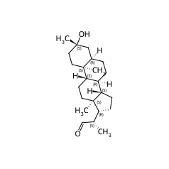 C[C@H](C=O)[C@H]1CC[C@H]2[C@@H]3CC[C@@H]4C[C@@](C)(O)CC[C@]4(C)[C@H]3CC[C@]12C